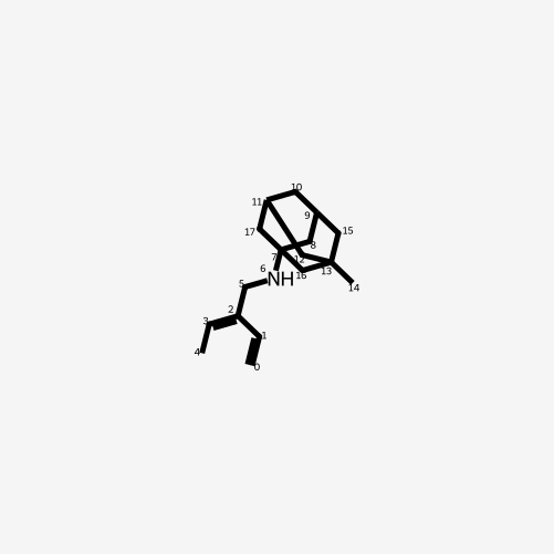 C=C/C(=C\C)CNC12CC3CC(CC(C)(C3)C1)C2